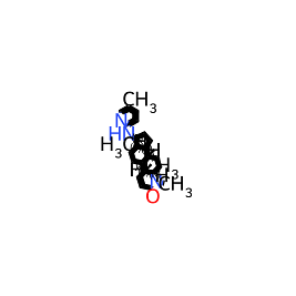 Cc1ccc(N[C@H]2CC[C@H]3[C@@H]4CC[C@H]5N(C)C(=O)C=C[C@]5(C)[C@H]4CC[C@]23C)nc1